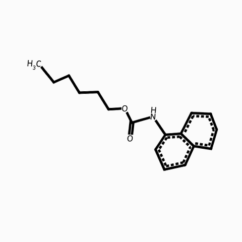 CCCCCCOC(=O)Nc1cccc2ccccc12